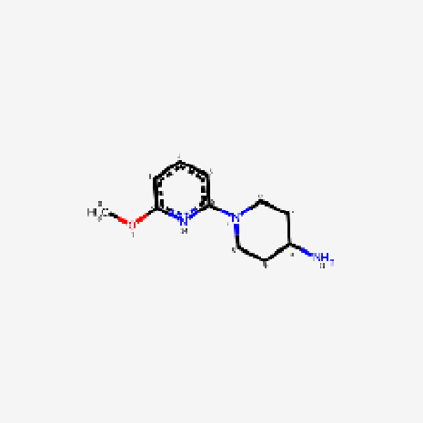 COc1cccc(N2CCC(N)CC2)n1